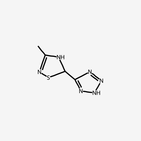 CC1=NSC(c2nn[nH]n2)N1